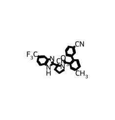 Cc1ccc(-c2cccc(C#N)c2)c(C(=O)N2CCCC2(C)c2nc3cc(C(F)(F)F)ccc3[nH]2)c1